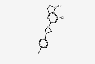 [O-][S+]1CCc2nc(N3CC(c4ccc(F)cc4)C3)cc(Cl)c21